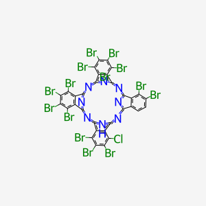 Clc1c(Br)c(Br)c(Br)c2c3nc4nc(nc5c6c(Br)c(Br)c(Br)c(Br)c6c(nc6nc(nc([nH]3)c12)-c1ccc(Br)c(Br)c1-6)n5Br)-c1c(Br)c(Br)c(Br)c(Br)c1-4